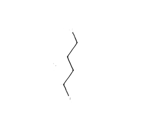 CCCCCCCCC(C)C.[NaH]